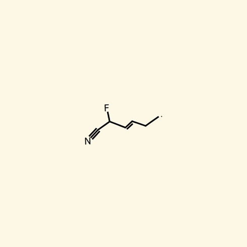 [CH2]CC=CC(F)C#N